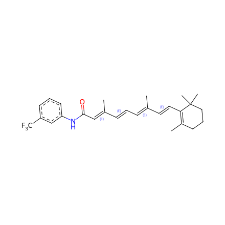 CC1=C(/C=C/C(C)=C/C=C/C(C)=C/C(=O)Nc2cccc(C(F)(F)F)c2)C(C)(C)CCC1